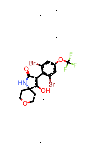 O=C1NC2(CCOCC2)C(O)=C1c1c(Br)cc(OC(F)(F)F)cc1Br